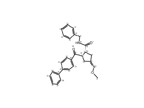 CON=C1C[C@@H](C(=O)NCc2ccccc2)N(C(=O)c2ccc(-c3ccccc3)cc2)C1